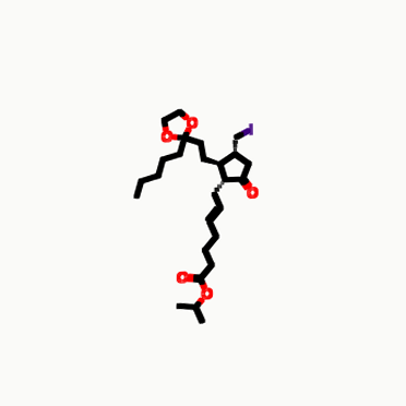 CCCCCC1(CC[C@H]2[C@H](CI)CC(=O)[C@@H]2CC=CCCCC(=O)OC(C)C)OCCO1